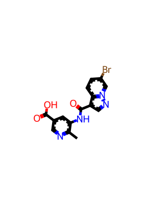 Cc1ncc(C(=O)O)cc1NC(=O)c1cnn2cc(Br)ccc12